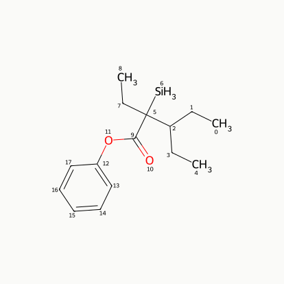 CCC(CC)C([SiH3])(CC)C(=O)Oc1ccccc1